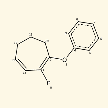 FC1=C(Oc2ccccc2)CCCC=C1